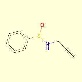 C#CCN[S+]([O-])c1ccccc1